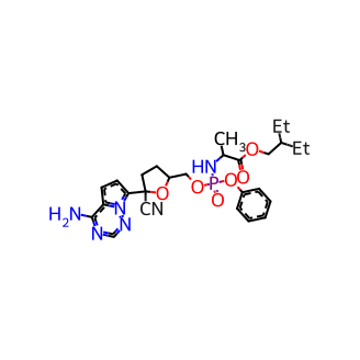 CCC(CC)COC(=O)C(C)NP(=O)(OCC1CCC(C#N)(c2ccc3c(N)ncnn23)O1)Oc1ccccc1